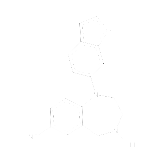 CN1CCN(c2ccc3ccoc3c2)c2ccc(C#N)cc2C1